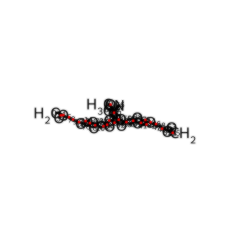 C=CC(=O)OCCCCCCOc1ccc(OC(=O)C2CCC(C(=O)Oc3ccc(OC(=O)C4CCC(C(=O)Oc5ccc(OCCCCCCOC(=O)C=C)cc5)CC4)c4c3SC(=C(C#N)C(=O)OC)S4)CC2)cc1